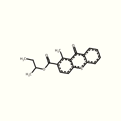 CCC(C)OC(=O)c1ccc2sc3ccccc3c(=O)c2c1C